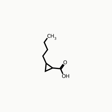 CCCCC1CC1C(=O)O